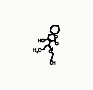 C#CCON=C(CCC)C1=C(O)CC2(CCCCCC2)OC1=O